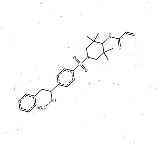 C=CC(=O)NC1C(C)(C)CN(S(=O)(=O)c2ccc(C(Cc3ccccc3)NC(=O)O)cc2)CC1(C)C